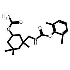 Cc1cccc(C)c1OC(=O)NCC1(C)CC(OC(N)=O)CC(C)(C)C1